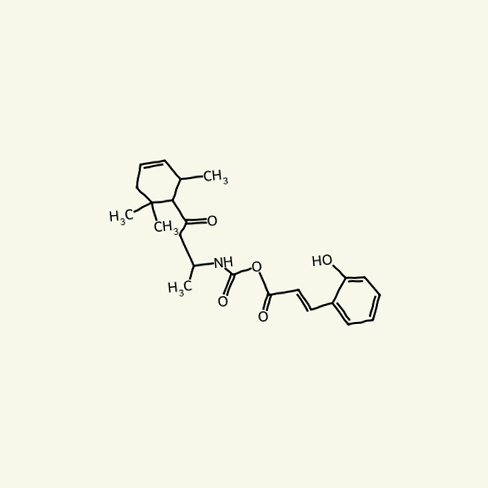 CC(CC(=O)C1C(C)C=CCC1(C)C)NC(=O)OC(=O)/C=C/c1ccccc1O